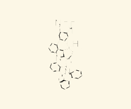 CC1CC=Cc2c1c1c(-c3ccc(C(F)(F)F)c(C#N)c3)cccc1n2-c1cccc2c1C(=O)N(c1ccccc1-c1ccccc1)C2=O